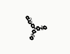 c1ccc2sc(-c3ccc(N(c4ccc(-c5ccc6c(n5)oc5ccccc56)cc4)c4ccc(-c5nc6ccccc6s5)cc4)cc3)nc2c1